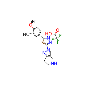 CC(C)Oc1ccc(-c2nnc(-n3cc4c(n3)CCNC4)s2)cc1C#N.O=C(O)C(F)(F)F